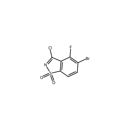 O=S1(=O)N=C(Cl)c2c1ccc(Br)c2F